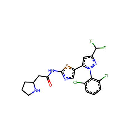 O=C(CC1CCCN1)Nc1ncc(-c2cc(C(F)F)nn2-c2c(Cl)cccc2Cl)s1